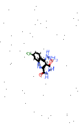 NNc1c2ccc(Cl)cc2nc2c(=O)[nH][nH]c(=O)c12